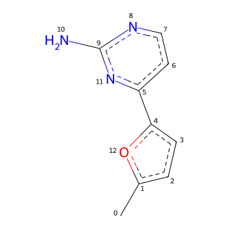 Cc1ccc(-c2ccnc(N)n2)o1